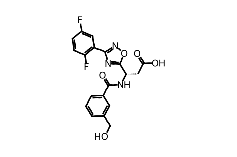 O=C(O)C[C@H](NC(=O)c1cccc(CO)c1)c1nc(-c2cc(F)ccc2F)no1